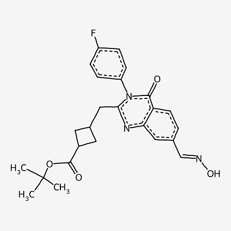 CC(C)(C)OC(=O)C1CC(Cc2nc3cc(/C=N/O)ccc3c(=O)n2-c2ccc(F)cc2)C1